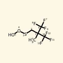 CC(CSOO)(C(F)(F)F)C(F)(F)F